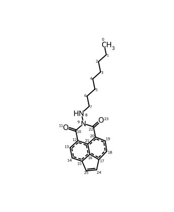 CCCCCCCCNN1C(=O)c2ccc3c4c(ccc(c24)C1=O)C=C3